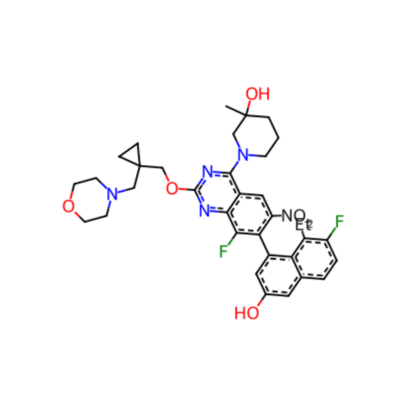 CCc1c(F)ccc2cc(O)cc(-c3c([N+](=O)[O-])cc4c(N5CCCC(C)(O)C5)nc(OCC5(CN6CCOCC6)CC5)nc4c3F)c12